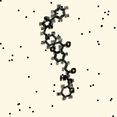 O=C(C=Cc1ccc2c(c1)C(=O)CC1(CCN(Cc3csc(-c4ccccc4)n3)CC1)O2)NOC1CCCCO1